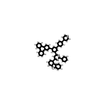 c1ccc(-c2nc(-c3cc(-c4ccc(-c5ccncc5)cc4)cc(-c4ccc5c6ccccc6c6ccccc6c5c4)c3)cc(-c3cccc4oc5ccccc5c34)n2)cc1